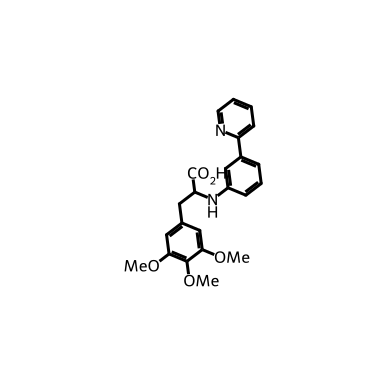 COc1cc(CC(Nc2cccc(-c3ccccn3)c2)C(=O)O)cc(OC)c1OC